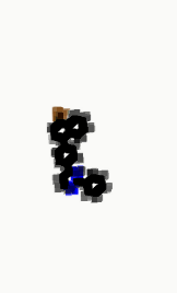 Brc1ccc(-c2ccc(-c3ccnc(-c4ccccc4)n3)cc2)c2ccccc12